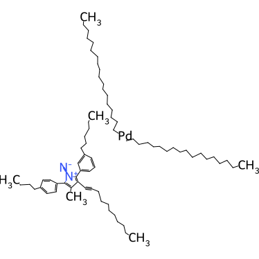 CCCCCCCCCC#CC1=C(c2cccc(CCCCCC)c2)[N+](=[N-])C(c2ccc(CCCC)cc2)=C1C.CCCCCCCCCCCCCCCCC[CH2][Pd][CH2]CCCCCCCCCCCCCCCCC